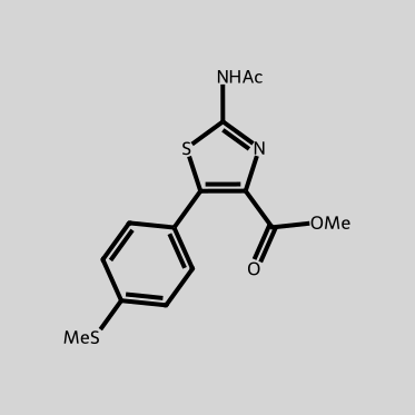 COC(=O)c1nc(NC(C)=O)sc1-c1ccc(SC)cc1